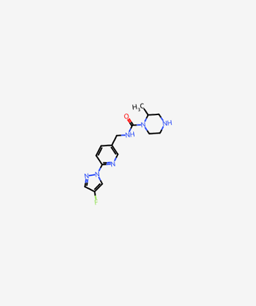 CC1CNCCN1C(=O)NCc1ccc(-n2cc(F)cn2)nc1